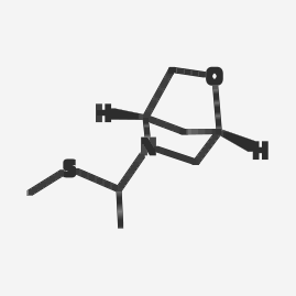 CSC(C)N1C[C@@H]2C[C@H]1CO2